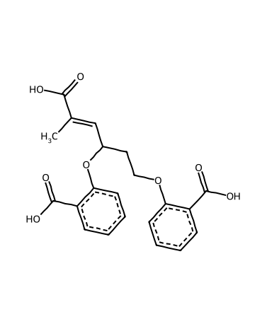 CC(=CC(CCOc1ccccc1C(=O)O)Oc1ccccc1C(=O)O)C(=O)O